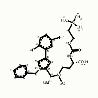 CC(=O)N(CC[C@H](NC(=O)OCC[Si](C)(C)C)C(=O)O)[C@@H](c1cc(-c2cc(F)ccc2F)cn1Cc1ccccc1)C(C)(C)C